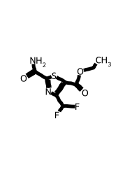 CCOC(=O)c1sc(C(N)=O)nc1C(F)F